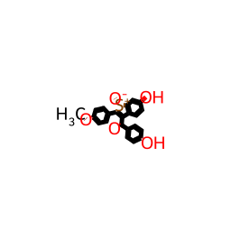 COc1ccc(-c2c(C(=O)c3ccc(O)cc3)c3ccc(O)cc3[s+]2[O-])cc1